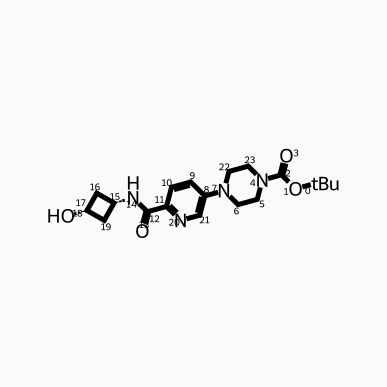 CC(C)(C)OC(=O)N1CCN(c2ccc(C(=O)N[C@H]3C[C@@H](O)C3)nc2)CC1